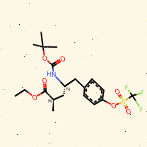 CCOC(=O)[C@H](C)C[C@@H](Cc1ccc(OS(=O)(=O)C(F)(F)F)cc1)NC(=O)OC(C)(C)C